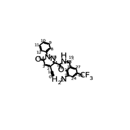 C#Cc1cc(=O)n(-c2ccccc2)nc1C(=O)N[C@H](C)c1cc(N)cc(C(F)(F)F)c1